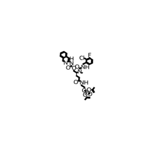 C=C(C)OP(=O)(OCCNC(=O)CC[C@@H](COC(=O)Nc1cc2ccccc2cn1)N(C)C(=O)NCc1cccc(F)c1Cl)OC(=C)C